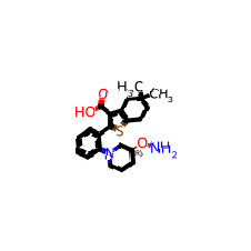 CC1(C)CCc2sc(-c3ccccc3N3CCC[C@@H](ON)C3)c(C(=O)O)c2C1